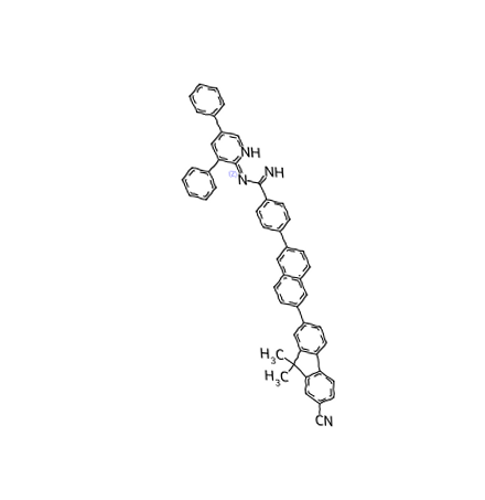 CC1(C)c2cc(C#N)ccc2-c2ccc(-c3ccc4cc(-c5ccc(C(=N)/N=c6\[nH]cc(-c7ccccc7)cc6-c6ccccc6)cc5)ccc4c3)cc21